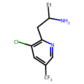 CCC(N)Cc1ncc(C(F)(F)F)cc1Cl